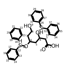 O=C(O)CC(CC(CCO)O[SiH](c1ccccc1)c1ccccc1)O[SiH](c1ccccc1)c1ccccc1